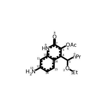 CCCC(OCC)c1c(OC(C)=O)c(=O)[nH]c2cc(N)ccc12